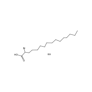 CCCCCCCCCCCCCCC(Br)C(=O)O.[KH]